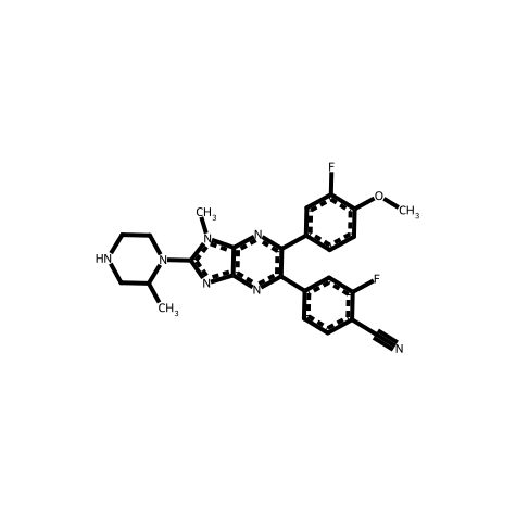 COc1ccc(-c2nc3c(nc2-c2ccc(C#N)c(F)c2)nc(N2CCNCC2C)n3C)cc1F